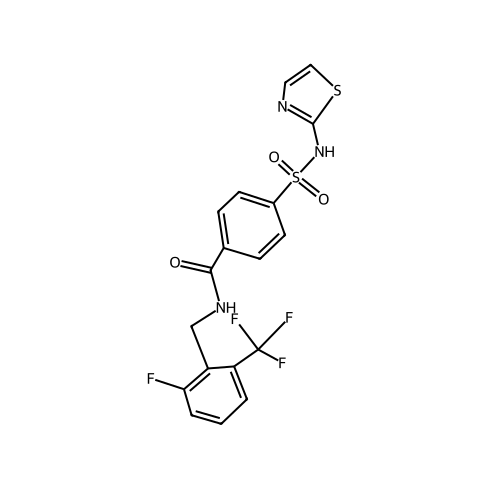 O=C(NCc1c(F)cccc1C(F)(F)F)c1ccc(S(=O)(=O)Nc2nccs2)cc1